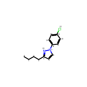 CCCCc1c[c]n(-c2ccc(Cl)cc2)n1